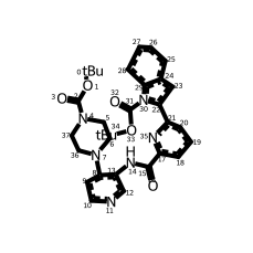 CC(C)(C)OC(=O)N1CCN(c2ccncc2NC(=O)c2cccc(-c3cc4ccccc4n3C(=O)OC(C)(C)C)n2)CC1